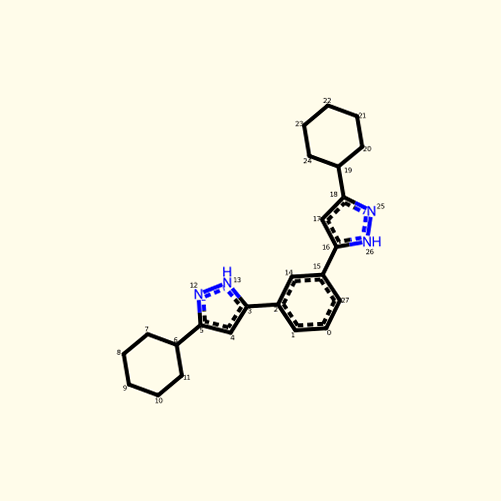 c1cc(-c2cc(C3CCCCC3)n[nH]2)cc(-c2cc(C3CCCCC3)n[nH]2)c1